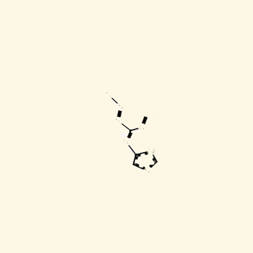 C=N/C(N=NN)=N\c1cnc[nH]1